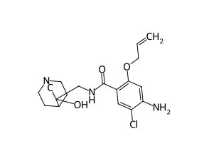 C=CCOc1cc(N)c(Cl)cc1C(=O)NCC1(O)CN2CCC1CC2